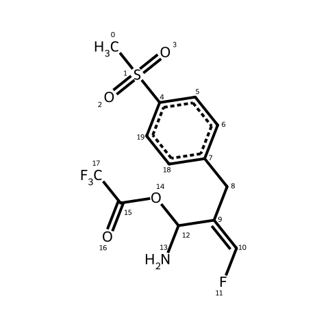 CS(=O)(=O)c1ccc(C/C(=C/F)C(N)OC(=O)C(F)(F)F)cc1